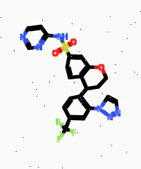 O=S(=O)(Nc1ccncn1)c1ccc2c(c1)OCCC2c1ccc(C(F)(F)F)cc1-n1ccnn1